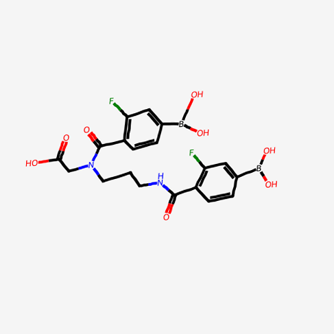 O=C(O)CN(CCCNC(=O)c1ccc(B(O)O)cc1F)C(=O)c1ccc(B(O)O)cc1F